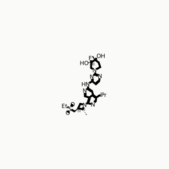 CCS(=O)(=O)C[C@H]1CN(c2ncc(C(C)C)c3cc(Nc4ccnc(N5CC[C@@](C)(O)[C@](O)(F)C5)n4)ncc23)[C@@H]1C